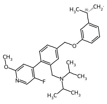 [CH2][C@@H](C)c1cccc(OCc2ccc(-c3cc(OC)ncc3F)c(CN(C(C)C)C(C)C)c2)c1